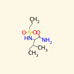 C=CCS(=O)(=O)NC(C(N)=O)C(C)CC